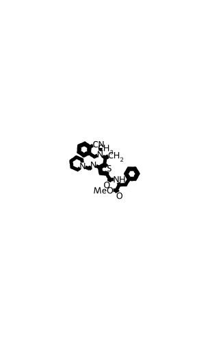 C=C(c1sc(C(=O)NC(Cc2ccccc2)C(=O)OC)cc1/N=C/N1CCCCC1)N(C)Cc1ccccc1C#N